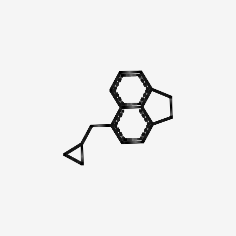 c1cc2c3c(ccc(CC4CC4)c3c1)CC2